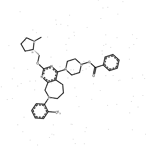 CN1CCC[C@H]1COc1nc2c(c(N3CCN(OC(=O)c4ccccc4)CC3)n1)CCCN(c1ccccc1C(F)(F)F)C2